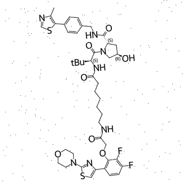 Cc1ncsc1-c1ccc(CNC(=O)[C@@H]2C[C@@H](O)CN2C(=O)[C@@H](NC(=O)CCCCCCNC(=O)COc2c(-c3csc(N4CCOCC4)n3)ccc(F)c2F)C(C)(C)C)cc1